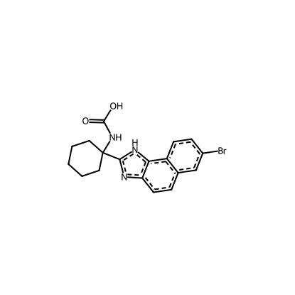 O=C(O)NC1(c2nc3ccc4cc(Br)ccc4c3[nH]2)CCCCC1